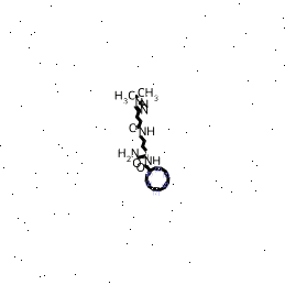 CC(C)n1cc(CCC(=O)NCCCC[C@H](NC(=O)C2=C/C=C\C=C/C=C\C=C/C=C\2)C(N)=O)nn1